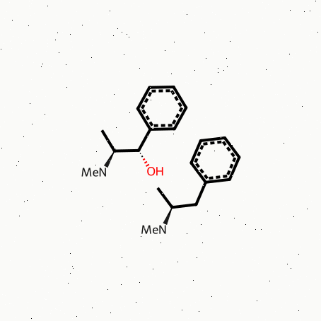 CN[C@@H](C)Cc1ccccc1.CN[C@@H](C)[C@@H](O)c1ccccc1